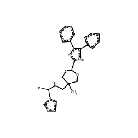 CCC(NCC1(C)COC(c2nc(-c3ccccc3)c(-c3ccccc3)[nH]2)OC1)n1ccnc1